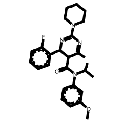 COc1cccc(N(C(=O)C2C(C)=NC(N3CCCCC3)=NC2c2ccccc2F)C(C)C)c1